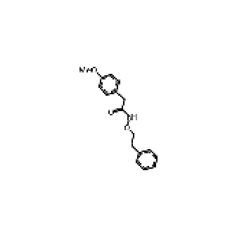 COc1ccc(CC(=O)NOCCc2ccccc2)cc1